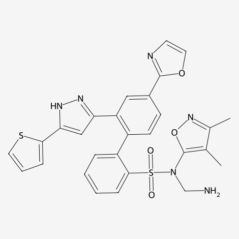 Cc1noc(N(CN)S(=O)(=O)c2ccccc2-c2ccc(-c3ncco3)cc2-c2cc(-c3cccs3)[nH]n2)c1C